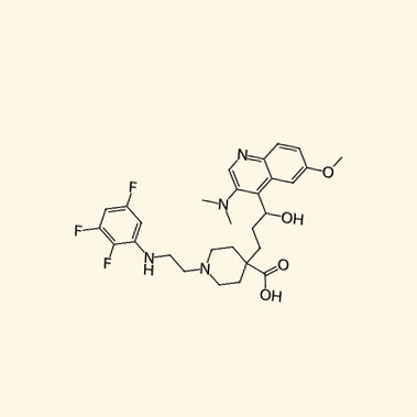 COc1ccc2ncc(N(C)C)c(C(O)CCC3(C(=O)O)CCN(CCNc4cc(F)cc(F)c4F)CC3)c2c1